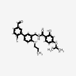 CCCOc1ccc(-c2cc(C=O)ccc2F)cc1CNC(=O)c1ccc(OC(C)C)cc1Cl